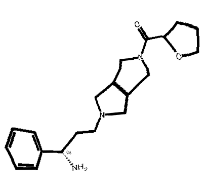 N[C@@H](CCN1CC2CN(C(=O)C3CCCO3)CC2C1)c1ccccc1